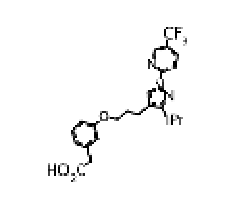 CC(C)c1nn(-c2ccc(C(F)(F)F)cn2)cc1CCCOc1cccc(CC(=O)O)c1